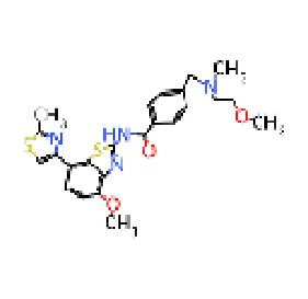 COCCN(C)Cc1ccc(C(=O)Nc2nc3c(OC)ccc(-c4csc(C)n4)c3s2)cc1